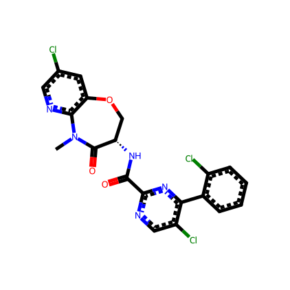 CN1C(=O)[C@@H](NC(=O)c2ncc(Cl)c(-c3ccccc3Cl)n2)COc2cc(Cl)cnc21